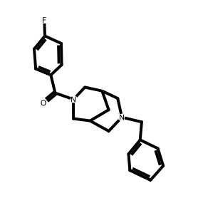 O=C(c1ccc(F)cc1)N1CC2CC(CN(Cc3ccccc3)C2)C1